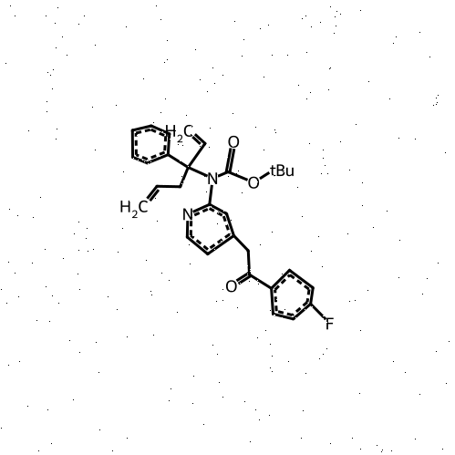 C=CCC(C=C)(c1ccccc1)N(C(=O)OC(C)(C)C)c1cc(CC(=O)c2ccc(F)cc2)ccn1